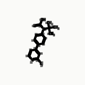 CC(C)(C)N(C(=O)O)c1ccc(-c2ccnc(Cl)c2)cc1